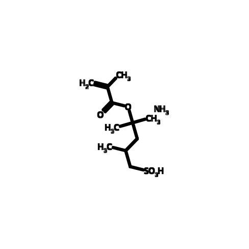 C=C(C)C(=O)OC(C)(C)CC(C)CS(=O)(=O)O.N